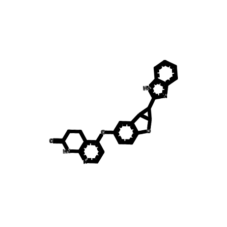 O=C1CCc2c(Oc3ccc4c(c3)C3C(O4)C3c3nc4ccccc4[nH]3)ccnc2N1